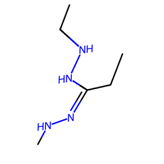 CCNN/C(CC)=N\NC